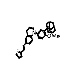 COc1ccc(N2CCCc3cc(/C=C/c4cccs4)ccc32)cc1C12CC3CC(CC(C3)C1)C2